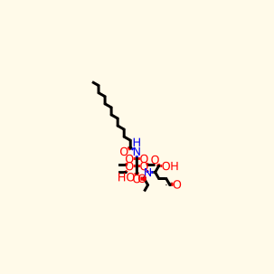 CCCCCCCCCCCCC(=O)NC(OCC)(OCC)C(OCC)(ON(C(=O)CC)C(CC[C]=O)C(=O)O)C(=O)O